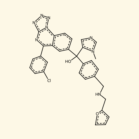 Cn1cncc1C(O)(c1ccc(CNCc2ccco2)cc1)c1ccc2c(c1)c(-c1cccc(Cl)c1)nc1nnnn12